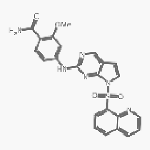 COc1cc(Nc2ncc3ccn(S(=O)(=O)c4cccc5cccnc45)c3n2)ccc1C(N)=O